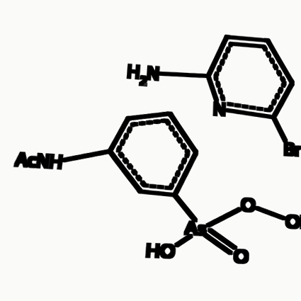 CC(=O)Nc1cccc([As](=O)(O)OO)c1.Nc1cccc(Br)n1